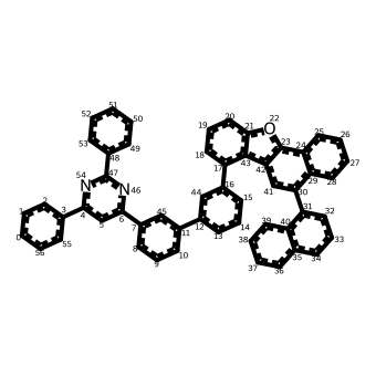 c1ccc(-c2cc(-c3cccc(-c4cccc(-c5cccc6oc7c8ccccc8c(-c8cccc9ccccc89)cc7c56)c4)c3)nc(-c3ccccc3)n2)cc1